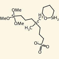 C1CC[SiH2]OC1.CO[Si](CCC[N+](C)(C)CCCS(=O)(=O)[O-])(OC)OC